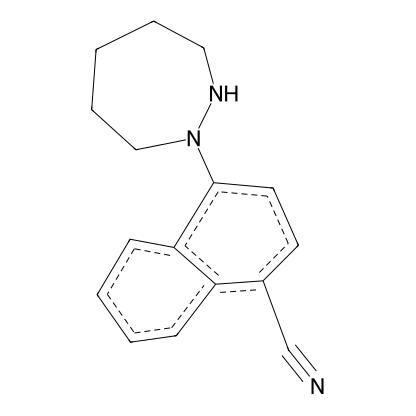 N#Cc1ccc(N2CCCCCN2)c2ccccc12